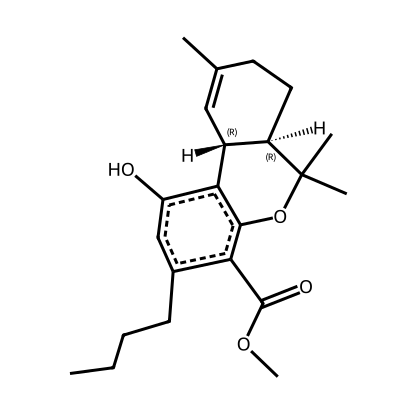 CCCCc1cc(O)c2c(c1C(=O)OC)OC(C)(C)[C@@H]1CCC(C)=C[C@@H]21